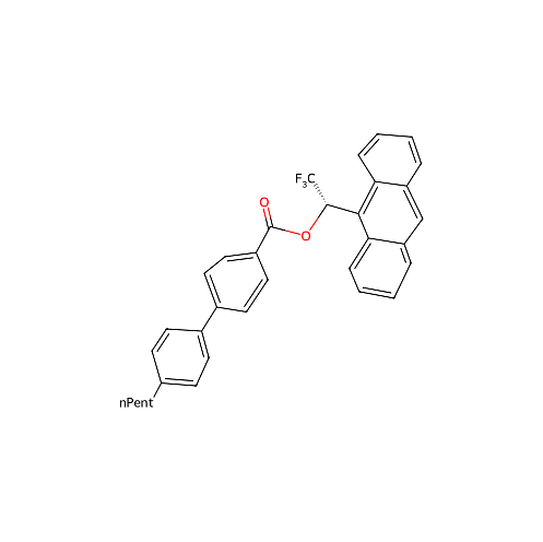 CCCCCc1ccc(-c2ccc(C(=O)O[C@@H](c3c4ccccc4cc4ccccc34)C(F)(F)F)cc2)cc1